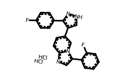 Cl.Cl.Fc1ccc(-c2n[nH]cc2-c2ccc3ncc(-c4ccccc4F)n3c2)cc1